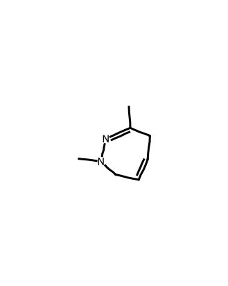 CC1=NN(C)CC=CC1